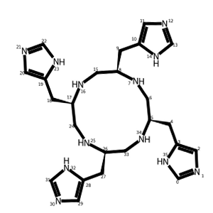 c1ncc(C[C@@H]2CN[C@H](Cc3cnc[nH]3)CN[C@H](Cc3cnc[nH]3)CN[C@H](Cc3cnc[nH]3)CN2)[nH]1